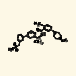 Cc1ccc(N2CCN(C)CC2)cc1C(=O)N[C@H](C)c1cccc(-c2cccc(CS(C)(=O)=O)c2)c1